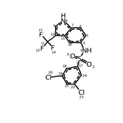 O=S(=O)(Nc1ccc2[nH]cc(C(F)(F)F)c2c1)c1cc(Cl)cc(Cl)c1